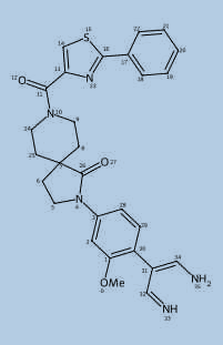 COc1cc(N2CCC3(CCN(C(=O)c4csc(-c5ccccc5)n4)CC3)C2=O)ccc1/C(C=N)=C/N